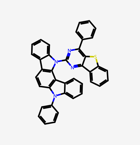 c1ccc(-c2nc(-n3c4ccccc4c4ccc5c(c6ccccc6n5-c5ccccc5)c43)nc3c2sc2ccccc23)cc1